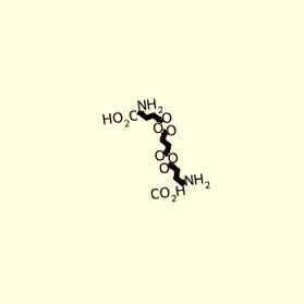 N[C@@H](CCC(=O)OC(=O)CCC(=O)OC(=O)CC[C@H](N)C(=O)O)C(=O)O